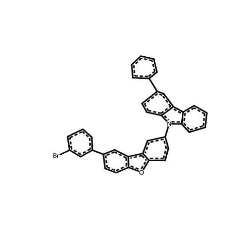 Brc1cccc(-c2ccc3oc4ccc(-n5c6ccccc6c6cc(-c7ccccc7)ccc65)cc4c3c2)c1